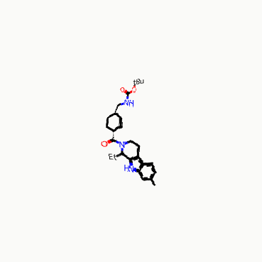 CCC1c2[nH]c3cc(C)ccc3c2CCN1C(=O)[C@H]1CC[C@H](CNC(=O)OC(C)(C)C)CC1